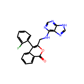 O=c1oc(CNc2ncnc3[nH]cnc23)c(-c2ccccc2F)c2ccccc12